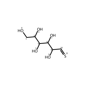 OCC(O)C(O)C(O)C(O)C=S